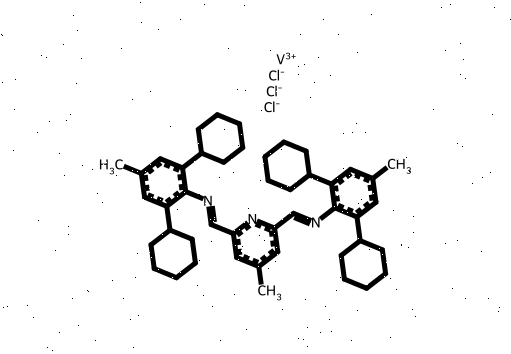 Cc1cc(C=Nc2c(C3CCCCC3)cc(C)cc2C2CCCCC2)nc(C=Nc2c(C3CCCCC3)cc(C)cc2C2CCCCC2)c1.[Cl-].[Cl-].[Cl-].[V+3]